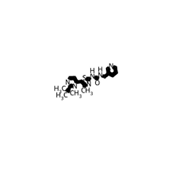 Cc1nc(NC(=O)NCc2cccnc2)sc1-c1ccnc(C(C)(C)C)n1